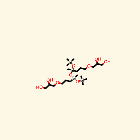 C[Si](C)(C)O[Si](C)(CCCOCC(O)CO)O[Si](C)(CCCOCC(O)CO)O[Si](C)(C)C